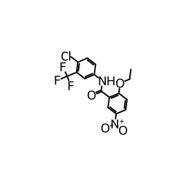 CCOc1ccc([N+](=O)[O-])cc1C(=O)Nc1ccc(Cl)c(C(F)(F)F)c1